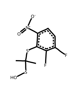 CC(C)(SO)Sc1c([N+](=O)[O-])ccc(F)c1F